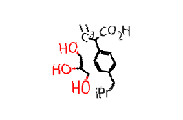 CC(C)Cc1ccc(C(C)C(=O)O)cc1.OCC(O)CO